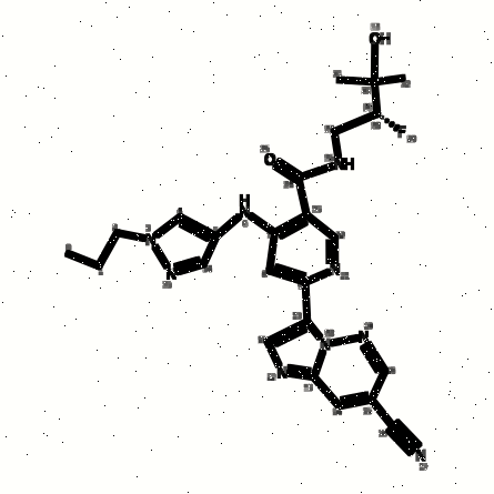 CCCn1cc(Nc2cc(-c3cnc4cc(C#N)cnn34)ncc2C(=O)NC[C@@H](F)C(C)(C)O)cn1